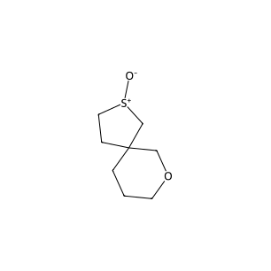 [O-][S+]1CCC2(CCCOC2)C1